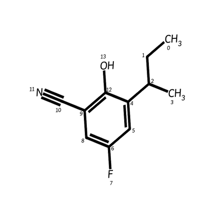 CCC(C)c1cc(F)cc(C#N)c1O